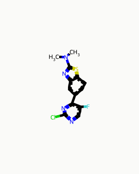 CN(C)c1nc2cc(-c3nc(Cl)ncc3F)ccc2s1